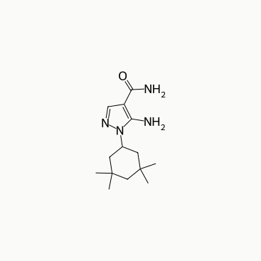 CC1(C)CC(n2ncc(C(N)=O)c2N)CC(C)(C)C1